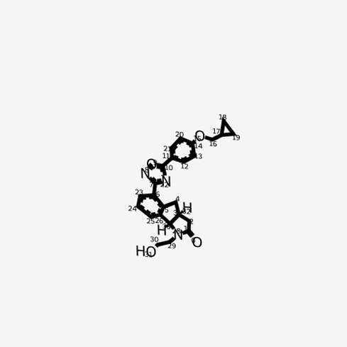 O=C1C[C@H]2Cc3c(-c4noc(-c5ccc(OCC6CC6)cc5)n4)cccc3[C@H]2N1CCO